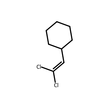 ClC(Cl)=CC1CCCCC1